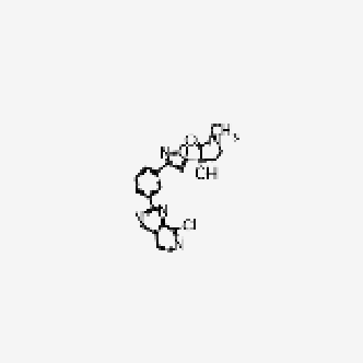 CN1CC[C@@](O)(c2cc(-c3cccc(-c4ncc5ccnc(Cl)c5n4)c3)no2)C1=O